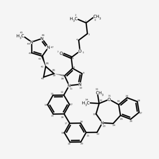 CC(C)CCOC(=O)c1cnn(-c2cccc(-c3cccc(CN4Cc5ccccc5OC(C)(C)C4)c3)c2)c1[C@@H]1C[C@H]1c1cn(C)nn1